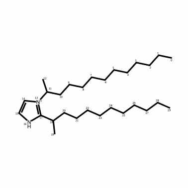 CCCCCCCCCCCC(C)[n+]1cc[nH]c1C(C)CCCCCCCCCC